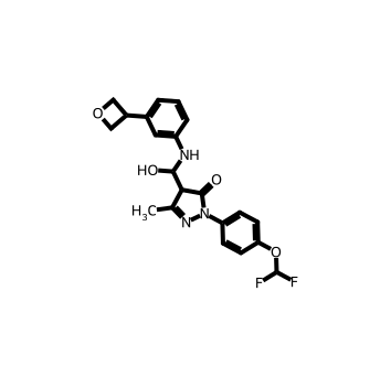 CC1=NN(c2ccc(OC(F)F)cc2)C(=O)C1C(O)Nc1cccc(C2COC2)c1